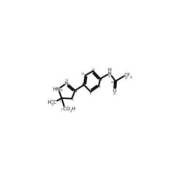 CC1(C(=O)O)CC(c2ccc(NC(=O)C(F)(F)F)cc2)=NN1